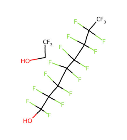 OC(F)(F)C(F)(F)C(F)(F)C(F)(F)C(F)(F)C(F)(F)C(F)(F)C(F)(F)F.OCC(F)(F)F